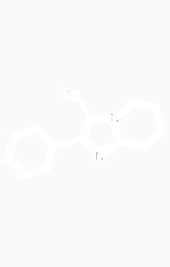 CC(=O)c1c(-c2ccccc2)nc2ccccn12